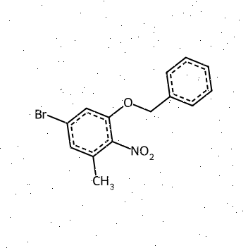 Cc1cc(Br)cc(OCc2ccccc2)c1[N+](=O)[O-]